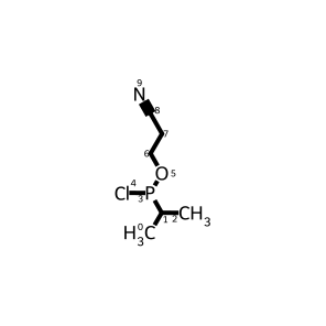 CC(C)P(Cl)OCCC#N